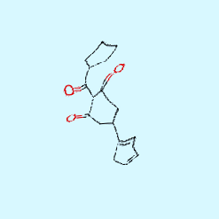 O=C1CC(C2=CC=CC2)CC(=O)C1C(=O)C1CCCC1